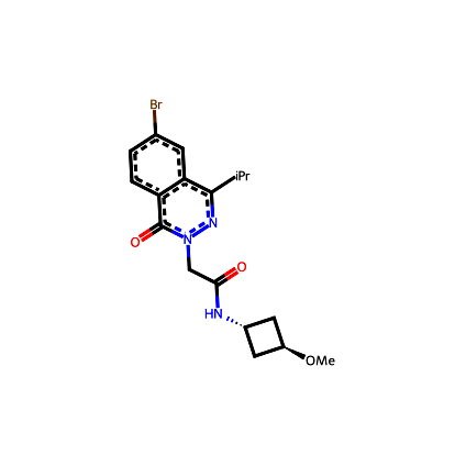 CO[C@H]1C[C@H](NC(=O)Cn2nc(C(C)C)c3cc(Br)ccc3c2=O)C1